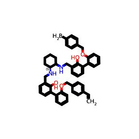 Bc1ccc(COc2ccccc2-c2cccc(CNC3CCCC[C@@H]3NCc3cccc(-c4ccccc4OCc4ccc(C=C)cc4)c3O)c2O)cc1